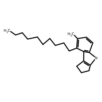 CCCCCCCCCCc1c(C)ccc2c1C1=C(CCC1)[N]2